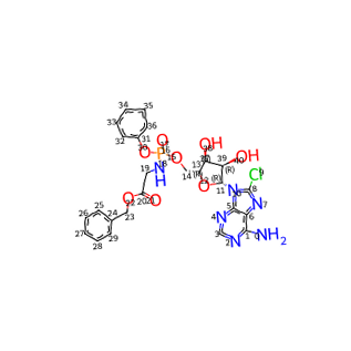 Nc1ncnc2c1nc(Cl)n2[C@@H]1O[C@H](COP(=O)(NCC(=O)OCc2ccccc2)Oc2ccccc2)[C@@H](O)[C@H]1O